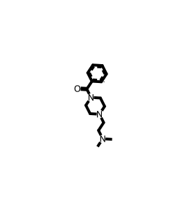 CN(C)CCN1CCN(C(=O)c2[c]cccc2)CC1